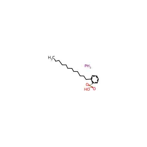 CCCCCCCCCCCCc1ccccc1S(=O)(=O)O.P